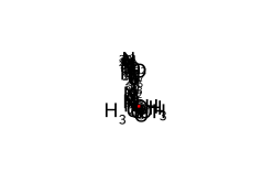 CC(C)(OP(=O)(O)O)c1cn(-c2ccc(-c3ccc4c(c3)C[C@H]3[C@H](Cn5ccnn5)OC(=O)N43)cn2)nn1